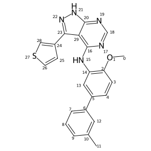 COc1ccc(-c2cccc(C)c2)cc1Nc1ncnc2[nH]nc(-c3ccsc3)c12